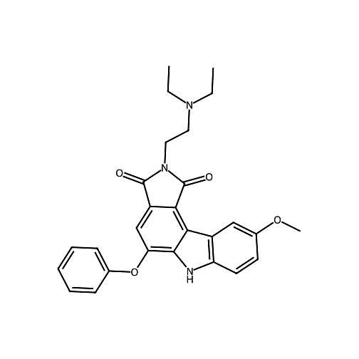 CCN(CC)CCN1C(=O)c2cc(Oc3ccccc3)c3[nH]c4ccc(OC)cc4c3c2C1=O